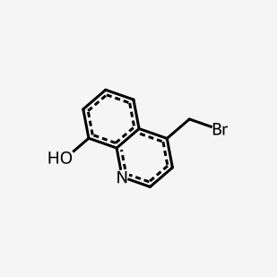 Oc1cccc2c(CBr)ccnc12